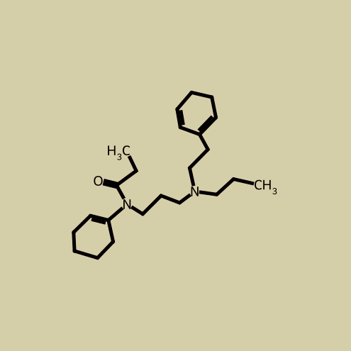 CCCN(CCCN(C(=O)CC)C1=CCCCC1)CCC1=CCCC=C1